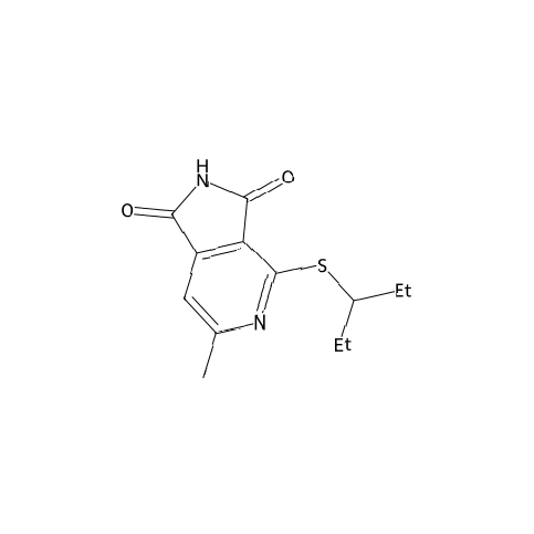 CCC(CC)Sc1nc(C)cc2c1C(=O)NC2=O